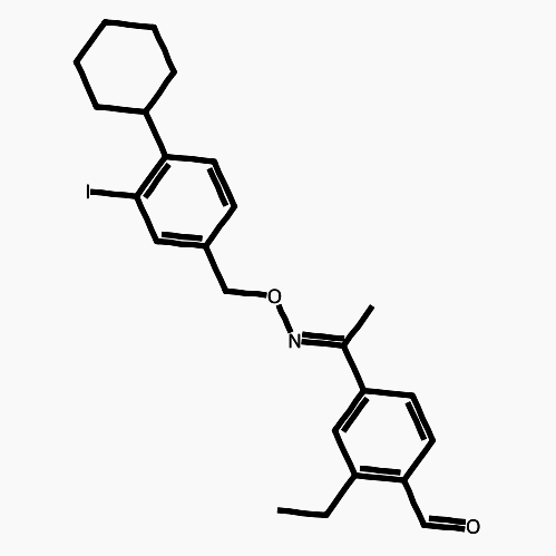 CCc1cc(C(C)=NOCc2ccc(C3CCCCC3)c(I)c2)ccc1C=O